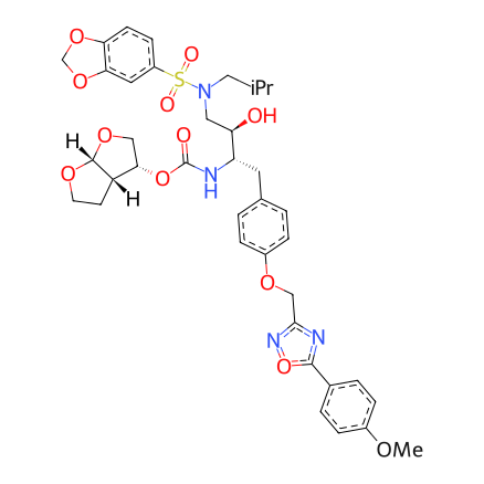 COc1ccc(-c2nc(COc3ccc(C[C@H](NC(=O)O[C@H]4CO[C@H]5OCC[C@H]54)[C@H](O)CN(CC(C)C)S(=O)(=O)c4ccc5c(c4)OCO5)cc3)no2)cc1